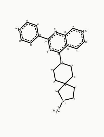 CN1CCC2(CCN(c3nc(-c4ccncc4)nc4cnccc34)CC2)C1